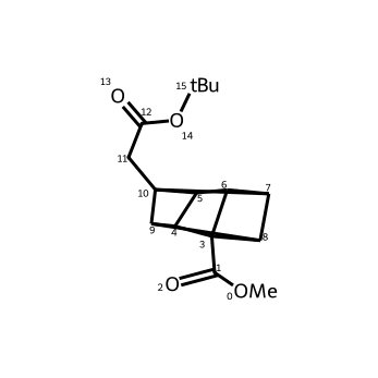 COC(=O)C12C3C4C1C1C2C3C41CC(=O)OC(C)(C)C